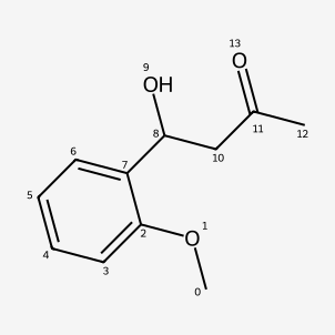 COc1ccccc1C(O)CC(C)=O